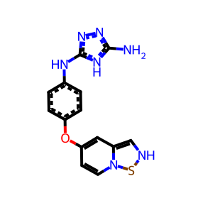 Nc1nnc(Nc2ccc(OC3=CC4=CNSN4C=C3)cc2)[nH]1